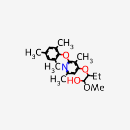 CCC(Oc1cc(C)nc(Oc2c(C)cc(C)cc2C)c1C)C(O)OC